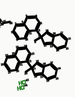 CC1(c2cccc3ccccc23)C=c2ccccc2=C1.CC1(c2cccc3ccccc23)C=c2ccccc2=C1.C[SiH2]C.Cl.Cl